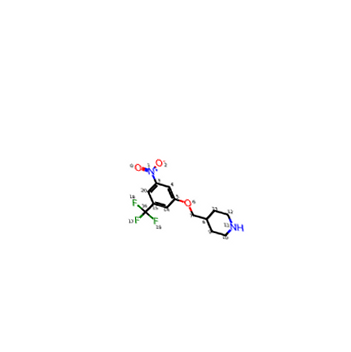 O=[N+]([O-])c1cc(OCC2CCNCC2)cc(C(F)(F)F)c1